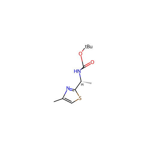 Cc1csc([C@@H](C)NC(=O)OC(C)(C)C)n1